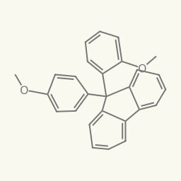 COc1ccc(C2(c3ccccc3OC)c3ccccc3-c3ccccc32)cc1